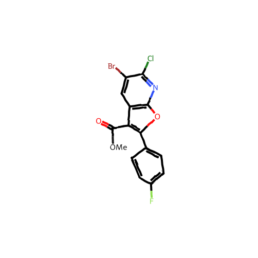 COC(=O)c1c(-c2ccc(F)cc2)oc2nc(Cl)c(Br)cc12